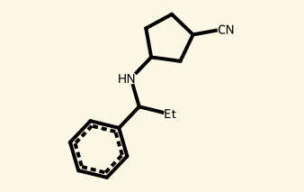 CCC(NC1CCC(C#N)C1)c1ccccc1